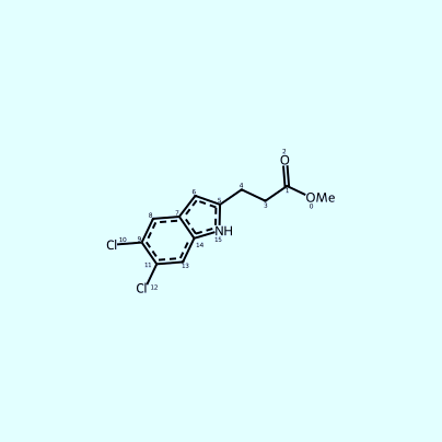 COC(=O)CCc1cc2cc(Cl)c(Cl)cc2[nH]1